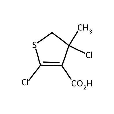 CC1(Cl)CSC(Cl)=C1C(=O)O